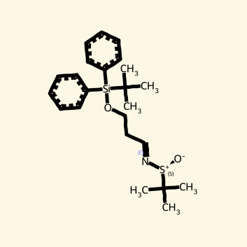 CC(C)(C)[S@@+]([O-])/N=C/CCO[Si](c1ccccc1)(c1ccccc1)C(C)(C)C